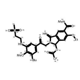 CCOc1cc2c(cc1C(=O)NC)C(=N)N(CC(=O)c1cc(NCCS(C)(=O)=O)c(OC)c(C(C)(C)C)c1)C2OC(=O)C(F)(F)F